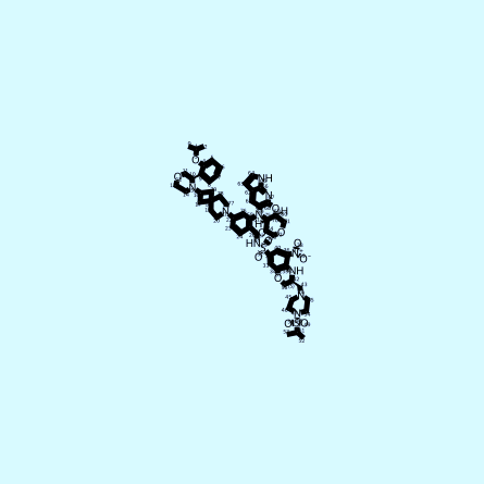 CC(C)Oc1ccccc1[C@@H]1COCCN1C1CC2(CCN(c3ccc(C(=O)NS(=O)(=O)c4cc5c(c([N+](=O)[O-])c4)N[C@@H](CN4CCN(S(=O)(=O)C(C)C)CC4)CO5)c(N4c5cc6cc[nH]c6nc5O[C@H]5COCC[C@@H]54)c3)CC2)C1